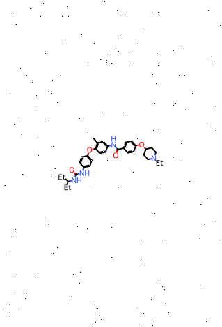 CCC(CC)NC(=O)Nc1ccc(Oc2ccc(NC(=O)c3ccc(OC4CCN(CC)CC4)cc3)cc2C)cc1